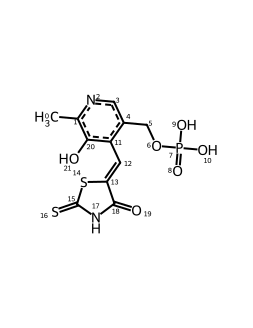 Cc1ncc(COP(=O)(O)O)c(C=C2SC(=S)NC2=O)c1O